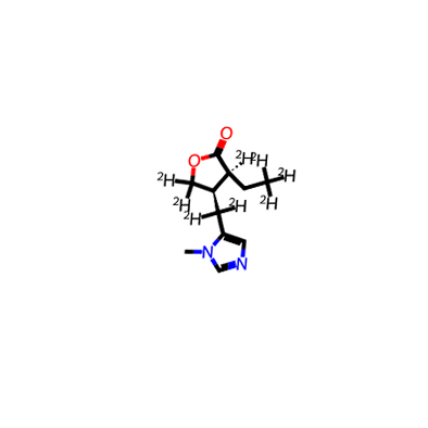 [2H]C([2H])([2H])C[C@]1([2H])C(=O)OC([2H])([2H])[C@@H]1C([2H])([2H])c1cncn1C